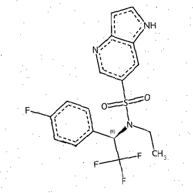 CCN([C@H](c1ccc(F)cc1)C(F)(F)F)S(=O)(=O)c1cnc2cc[nH]c2c1